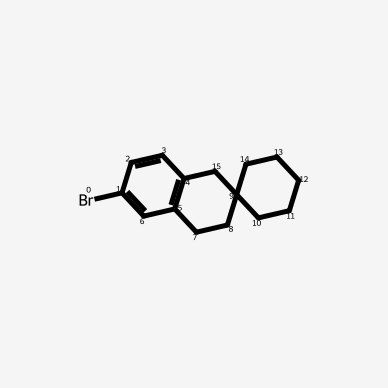 Brc1ccc2c(c1)CCC1(CCCCC1)C2